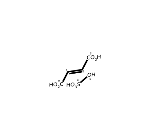 O=C(O)C=CC(=O)O.O=S(=O)(O)O